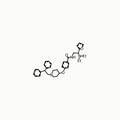 CCN(CC)C(CNC(=O)c1ccc(OC2CCN(CC(c3ccccc3)c3ccccc3)CC2)cc1)c1ccco1